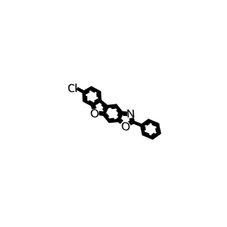 Clc1ccc2c(c1)oc1cc3oc(-c4ccccc4)nc3cc12